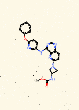 CC(C)(C)OC(=O)NC1CN(c2ccc3ncnc(Nc4ccc(Oc5ccccc5)nc4)c3n2)C1